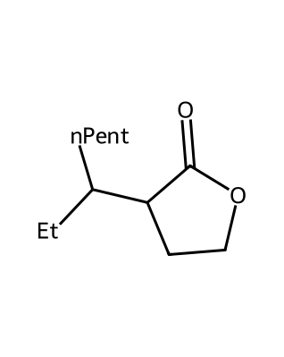 CCCCCC(CC)C1CCOC1=O